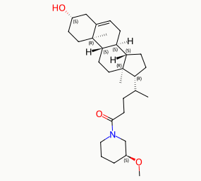 CO[C@H]1CCCN(C(=O)CCC(C)[C@H]2CC[C@H]3[C@@H]4CC=C5C[C@@H](O)CC[C@]5(C)[C@H]4CC[C@]23C)C1